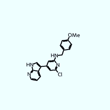 COc1ccc(CNc2cc(-c3c[nH]c4ncccc34)cc(Cl)n2)cc1